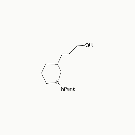 CCCCCN1CCCC(CCCO)C1